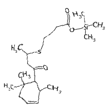 CC(CC(=O)C1C(C)C=CCC1(C)C)SCCCC(=O)O[Si](C)(C)C